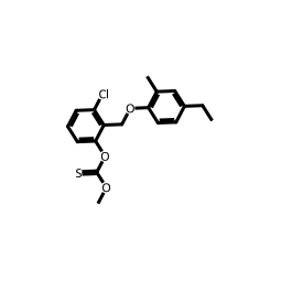 CCc1ccc(OCc2c(Cl)cccc2OC(=S)OC)c(C)c1